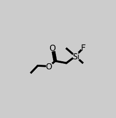 CCOC(=O)C[Si](C)(C)F